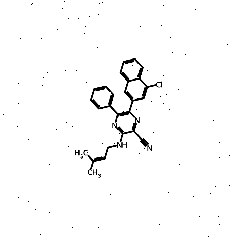 CC(C)=CCNc1nc(-c2ccccc2)c(-c2cc(Cl)c3ccccc3c2)nc1C#N